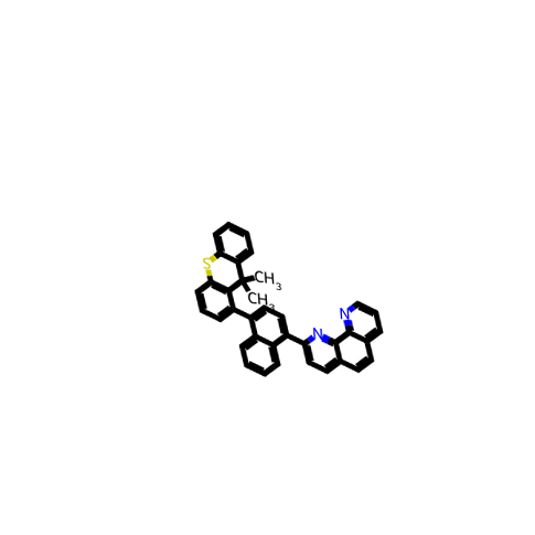 CC1(C)c2ccccc2Sc2cccc(-c3ccc(-c4ccc5ccc6cccnc6c5n4)c4ccccc34)c21